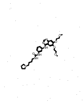 COCCOc1cc2ncnc(Nc3cccc(NC(=O)NCCCCN4CCCC4)c3)c2cc1OCCOC